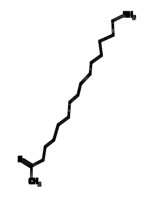 CC(=S)CCCCCCCCCCCCCCN